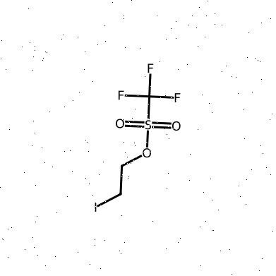 O=S(=O)(OCCI)C(F)(F)F